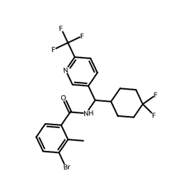 Cc1c(Br)cccc1C(=O)NC(c1ccc(C(F)(F)F)nc1)C1CCC(F)(F)CC1